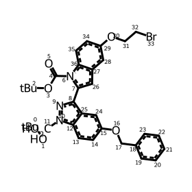 CC(C)(C)O.CC(C)(C)OC(=O)n1c(-c2nn(C(=O)O)c3ccc(OCc4ccccc4)cc23)cc2cc(OCCBr)ccc21